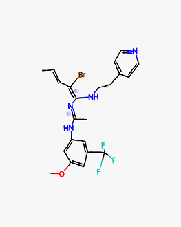 CC=C/C(Br)=C(\N=C(/C)Nc1cc(OC)cc(C(F)(F)F)c1)NCCc1ccncc1